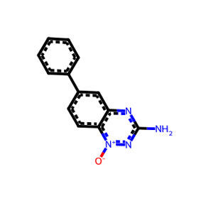 Nc1nc2cc(-c3ccccc3)ccc2[n+]([O-])n1